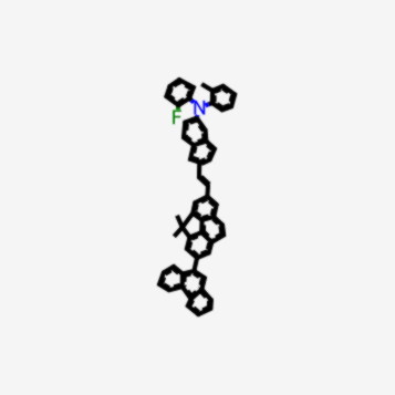 Cc1ccccc1N(c1ccc2cc(/C=C/c3cc4c5c(ccc6cc(-c7cc8ccccc8c8ccccc78)cc(c65)C4(C)C)c3)ccc2c1)c1ccccc1F